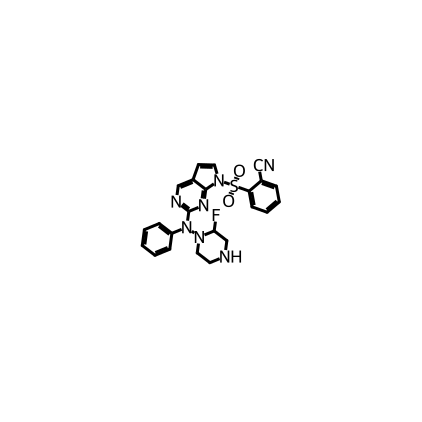 N#Cc1ccccc1S(=O)(=O)n1ccc2cnc(N(c3ccccc3)N3CCNCC3F)nc21